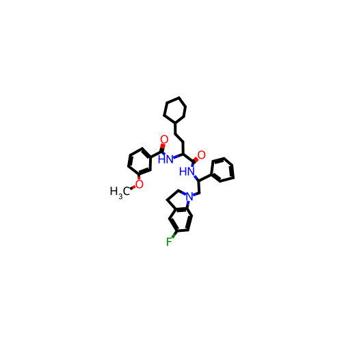 COc1cccc(C(=O)NC(CCC2CCCCC2)C(=O)NC(CN2CCc3cc(F)ccc32)c2ccccc2)c1